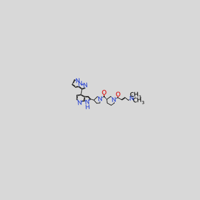 CN(C)C/C=C/C(=O)N1CCC[C@@H](C(=O)N2CCC(c3cc4c(-c5cnn6ncccc56)ccnc4[nH]3)C2)C1